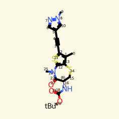 Cc1c(C#Cc2cnn(C)c2)sc2c1SC[C@H](NC(=O)OC(C)(C)C)C(=O)N2C